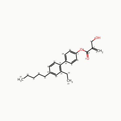 C=C(CO)C(=O)Oc1ccc(-c2ccc(CCCCC)cc2CC)cc1